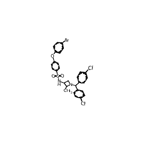 CC1C(NS(=O)(=O)c2ccc(Oc3ccc(Br)cc3)cc2)CN1C(c1ccc(Cl)cc1)c1ccc(Cl)cc1